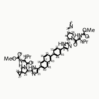 CN=C[C@H]1C[C@@H](c2ncc(-c3ccc(-c4ccc5cc(-c6cnc([C@@H]7CC8(CC8)CN7C(=O)[C@@H](NC(=O)OC)C(C)C)[nH]6)ccc5c4)cc3)[nH]2)N(C(=O)[C@@H](NC(=O)OC)C(C)C)C1